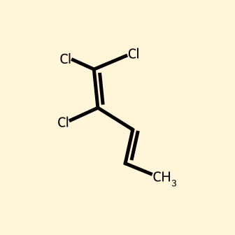 CC=CC(Cl)=C(Cl)Cl